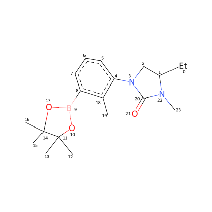 CCC1CN(c2cccc(B3OC(C)(C)C(C)(C)O3)c2C)C(=O)N1C